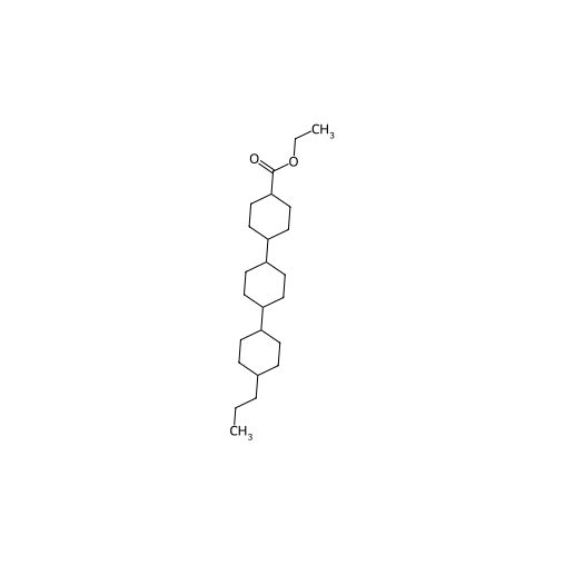 CCCC1CCC(C2CCC(C3CCC(C(=O)OCC)CC3)CC2)CC1